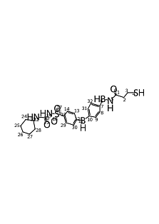 O=C(CCS)NBc1ccc(Bc2ccc(S(=O)(=O)NC(=O)NC3CCCCC3)cc2)cc1